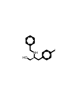 OC[C@H](Cc1ccc(I)cc1)NCc1ccccc1